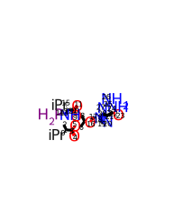 CC(C)[C@H](C)C(=O)OCC(COC(=O)[C@H](NP)C(C)C)OCn1cnc2c(=O)[nH]c(N)nc21